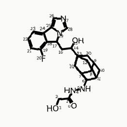 O=C(CO)NNC1C2CC3CC1CC(C(O)CC1c4c(F)cccc4-c4cncn41)(C3)C2